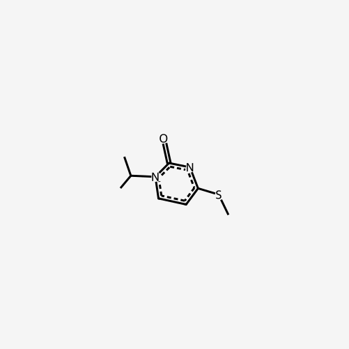 CSc1ccn(C(C)C)c(=O)n1